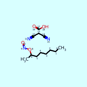 CCCCCCC(C)ON=O.N#CCC#N.O=CO